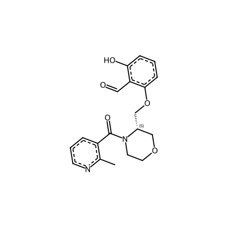 Cc1ncccc1C(=O)N1CCOC[C@H]1COc1cccc(O)c1C=O